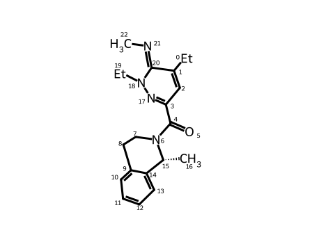 CCc1cc(C(=O)N2CCc3ccccc3[C@H]2C)nn(CC)/c1=N\C